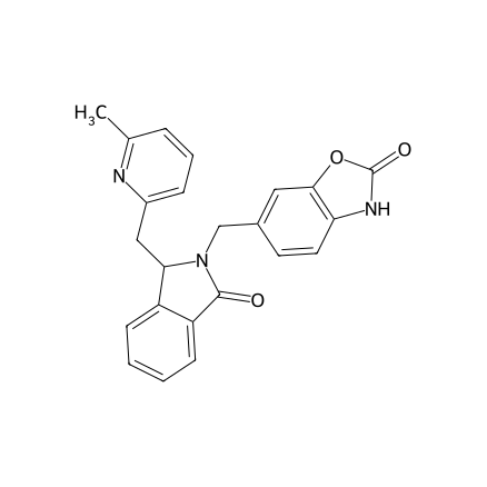 Cc1cccc(CC2c3ccccc3C(=O)N2Cc2ccc3[nH]c(=O)oc3c2)n1